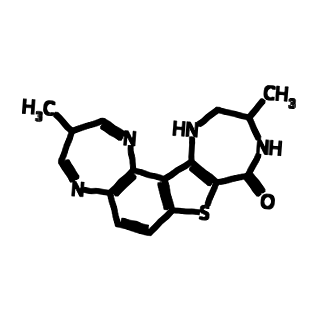 CC1C=Nc2ccc3sc4c(c3c2N=C1)NCC(C)NC4=O